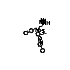 CC1Cc2c(OCc3ccc(-c4ccccc4)cn3)ccc3c2c(c(CCc2nnn[nH]2)n3Cc2ccc(Cl)cc2)S1